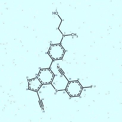 CN(CCO)c1ccc(-c2cc(Sc3ccc(F)cc3C#N)c3c(C#N)cnn3c2)cn1